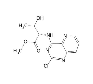 COC(=O)[C@@H](Nc1nc(Cl)nc2cccnc12)[C@H](C)O